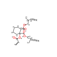 C=CC(=O)OC1(C(=O)OCC(C)CCCCCC)CCCCC1C(=O)OCC(C)CCCCCC